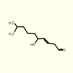 CC(C)CCCC(O)C=CCC=O